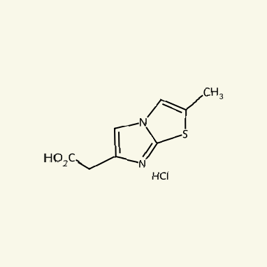 Cc1cn2cc(CC(=O)O)nc2s1.Cl